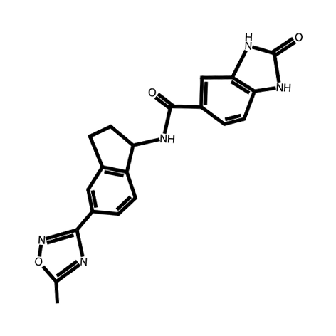 Cc1nc(-c2ccc3c(c2)CCC3NC(=O)c2ccc3[nH]c(=O)[nH]c3c2)no1